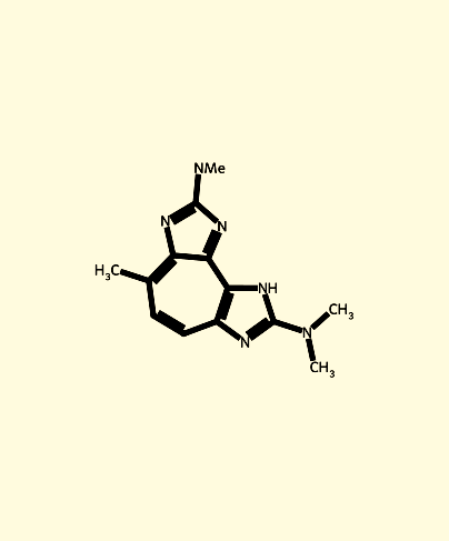 CNc1nc2c(C)ccc3nc(N(C)C)[nH]c3c-2n1